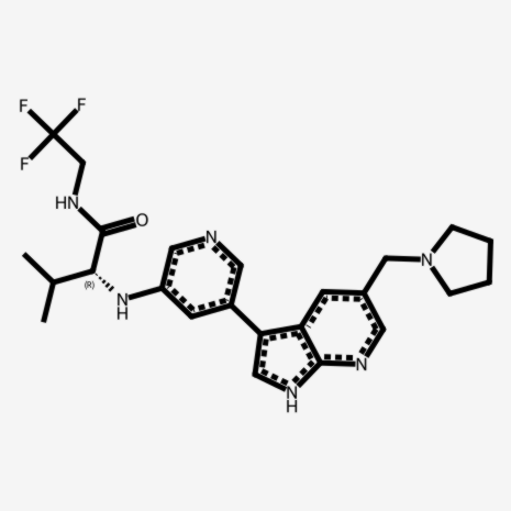 CC(C)[C@@H](Nc1cncc(-c2c[nH]c3ncc(CN4CCCC4)cc23)c1)C(=O)NCC(F)(F)F